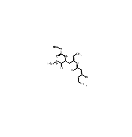 C\C=C/C(Br)=C\C(=N\C(=C/C)C[C@H](NC(=O)OC(C)(C)C)C(=O)NCCCCCC)C(C)C